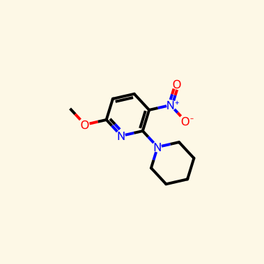 COc1ccc([N+](=O)[O-])c(N2CCCCC2)n1